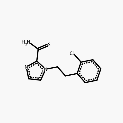 NC(=S)c1nccn1CCc1ccccc1Cl